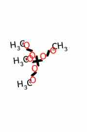 COCCOCC(COC)(COCCOC)COCCOC